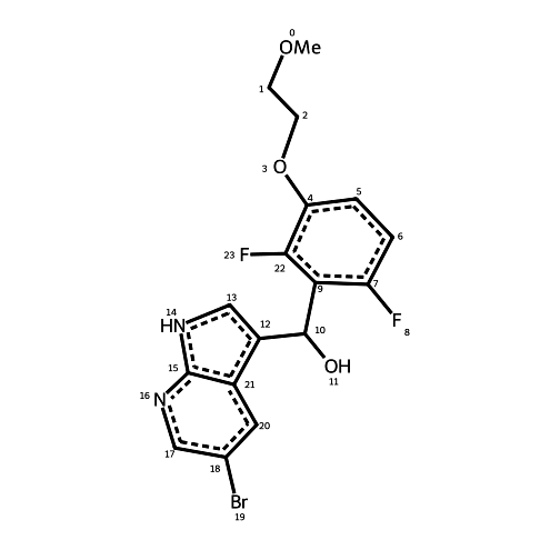 COCCOc1ccc(F)c(C(O)c2c[nH]c3ncc(Br)cc23)c1F